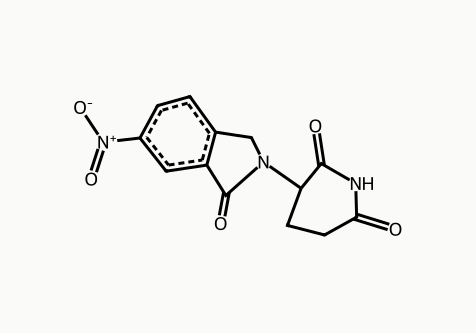 O=C1CCC(N2Cc3ccc([N+](=O)[O-])cc3C2=O)C(=O)N1